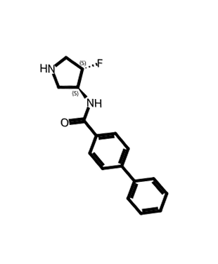 O=C(N[C@H]1CNC[C@@H]1F)c1ccc(-c2ccccc2)cc1